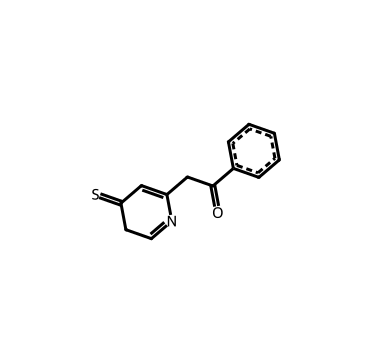 O=C(CC1=CC(=S)CC=N1)c1ccccc1